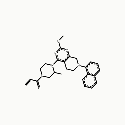 C=CC(=O)N1CCN(c2nc(OC)nc3c2CCN(c2cccc4ccccc24)C3)C(C)C1